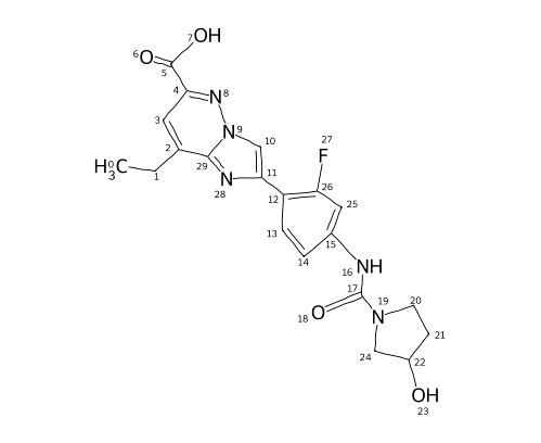 CCc1cc(C(=O)O)nn2cc(-c3ccc(NC(=O)N4CCC(O)C4)cc3F)nc12